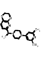 Cc1cc(N2CCN(C(C)c3ccc4c(n3)OCCO4)CC2)cc(C)n1